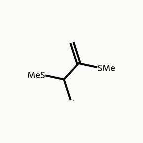 [CH2]C(SC)C(=C)SC